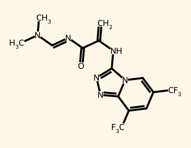 C=C(Nc1nnc2c(C(F)(F)F)cc(C(F)(F)F)cn12)C(=O)/N=C/N(C)C